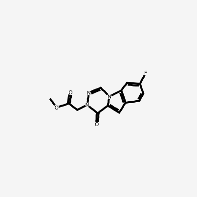 COC(=O)Cn1ncn2c(cc3ccc(F)cc32)c1=O